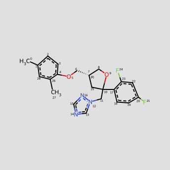 Cc1ccc(OC[C@@H]2COC(Cn3cncn3)(c3ccc(F)cc3F)C2)c(C)c1